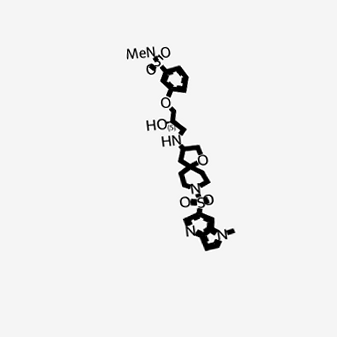 CNS(=O)(=O)c1cccc(OC[C@@H](O)CNC2COC3(CCN(S(=O)(=O)c4cnc5ccn(C)c5c4)CC3)C2)c1